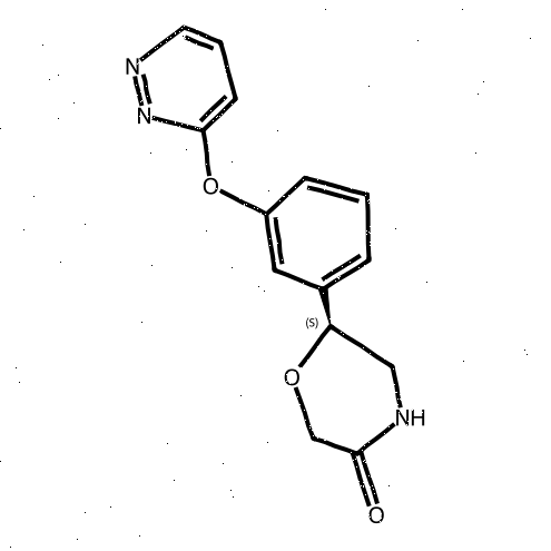 O=C1CO[C@@H](c2cccc(Oc3cccnn3)c2)CN1